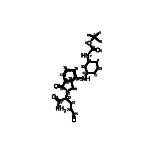 CC(C)(C)OC(=O)NC1CCCC(Nc2cccc3c2CN(C(CCC=O)C(N)=O)C3=O)C1